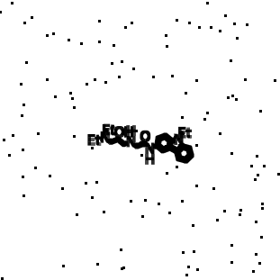 CCN(CC)CC(O)CNCC(=O)Nc1ccc2c(c1)c1ccccc1n2CC